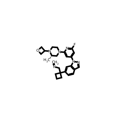 C=NCC1(c2ccc3cnn(-c4cc(F)nc(N5CCN(C6COC6)[C@@H](C)C5)c4)c3c2)CCC1